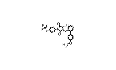 COc1ccc(-c2cnccc2CN2C(=O)N(c3ccc(SC(F)(F)F)cc3)C(=O)C2C)cc1